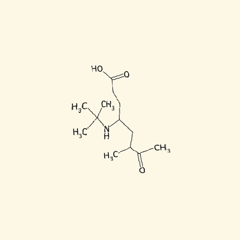 CC(=O)C(C)CC(CCC(=O)O)NC(C)(C)C